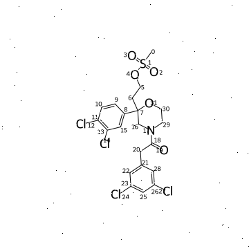 CS(=O)(=O)OCCC1(c2ccc(Cl)c(Cl)c2)CN(C(=O)Cc2cc(Cl)cc(Cl)c2)CCO1